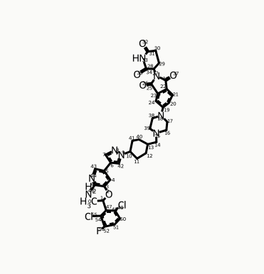 CC(Oc1cc(-c2cnn(C3CCC(CN4CCN(c5ccc6c(c5)C(=O)N(C5CCC(=O)NC5=O)C6=O)CC4)CC3)c2)cnc1N)c1c(Cl)ccc(F)c1Cl